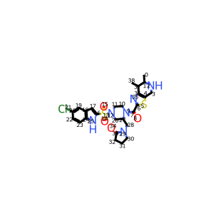 CC1NCc2sc(C(=O)N3CCN(S(=O)(=O)c4cc5cc(Cl)ccc5[nH]4)CC3CN3CCCC3=O)nc2C1C